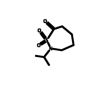 CC(C)N1CCCCC(=O)S1(=O)=O